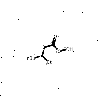 CCCCC(CC)CC(=O)OO